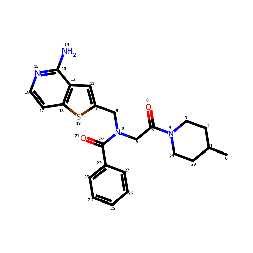 CC1CCN(C(=O)CN(Cc2cc3c(N)nccc3s2)C(=O)c2ccccc2)CC1